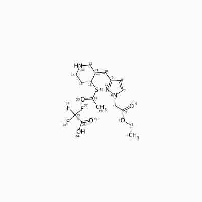 CCOC(=O)Cn1ccc(C=C2CNCCC2SC(C)=O)n1.O=C(O)C(F)(F)F